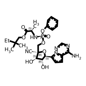 CCC(C)(C)COC(=O)[C@H](C)N[P@@](=O)(OC[C@@]1(C#N)O[C@@H](c2ccc3c(N)ncnn23)[C@H](O)[C@@H]1O)Oc1ccccc1